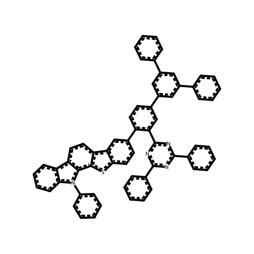 c1ccc(-c2cc(-c3ccccc3)cc(-c3ccc(-c4ccc5sc6c(ccc7c8ccccc8n(-c8ccccc8)c76)c5c4)c(-c4nc(-c5ccccc5)nc(-c5ccccc5)n4)c3)c2)cc1